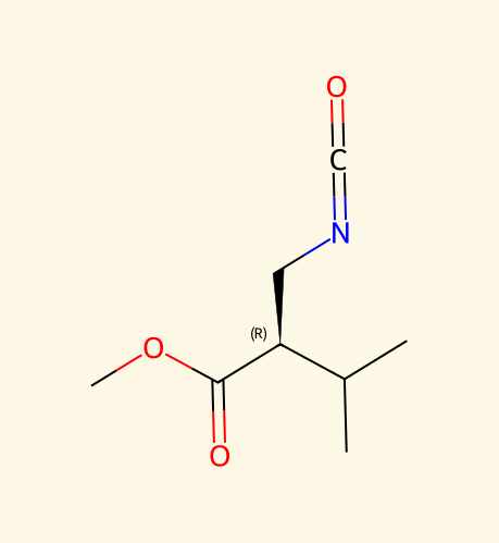 COC(=O)[C@@H](CN=C=O)C(C)C